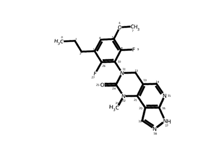 CCCc1cc(OC)c(F)c(N2Cc3cnc4[nH]ncc4c3N(C)C2=O)c1F